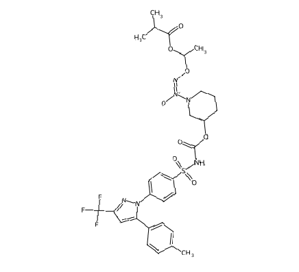 Cc1ccc(-c2cc(C(F)(F)F)nn2-c2ccc(S(=O)(=O)NC(=O)OC3CCCN(/[N+]([O-])=N\OC(C)OC(=O)C(C)C)C3)cc2)cc1